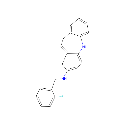 Fc1ccccc1CNC1=CC=C2Nc3ccccc3CC=C2C1